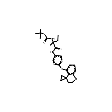 CCC(C)(NC(=O)OC(C)(C)C)C(=O)Nc1cnc(Oc2cccc3c2C2(CCO3)CC2)nc1